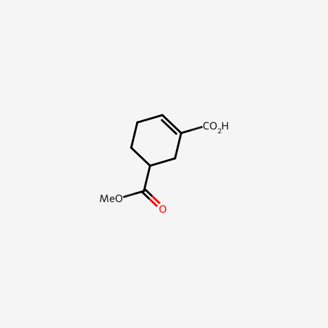 COC(=O)C1CCC=C(C(=O)O)C1